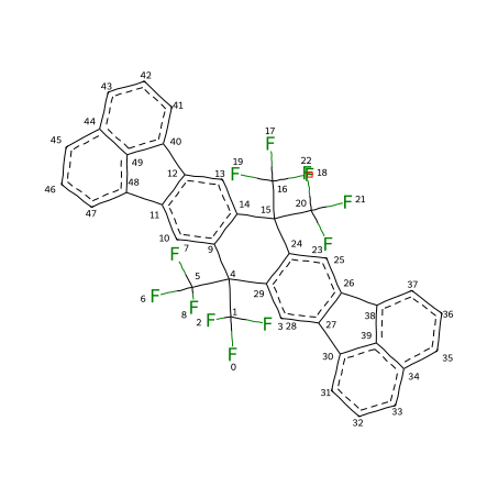 FC(F)(F)C1(C(F)(F)F)c2cc3c(cc2C(C(F)(F)F)(C(F)(F)F)c2cc4c(cc21)-c1cccc2cccc-4c12)-c1cccc2cccc-3c12